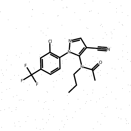 CCCN(C(C)=O)c1c(C#N)cnn1-c1ccc(C(F)(F)F)cc1Cl